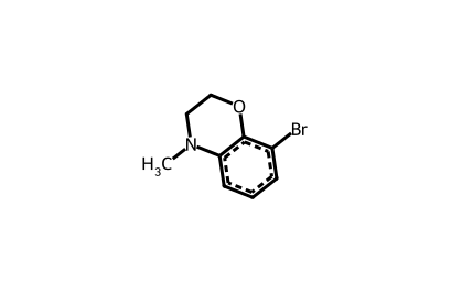 CN1CCOc2c(Br)cccc21